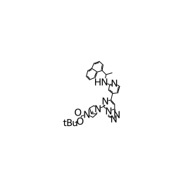 CC(Nc1cc(-c2cc3nncn3c(N3CC4=[N+](C(=O)OC(C)(C)C)CC3C4)n2)ccn1)c1cccc2ccccc12